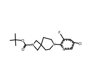 CC(C)(C)OC(=O)N1CC2(CCN(c3ncc(Cl)cc3F)CC2)C1